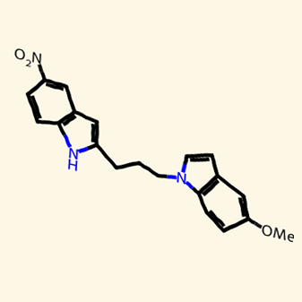 COc1ccc2c(ccn2CCCc2cc3cc([N+](=O)[O-])ccc3[nH]2)c1